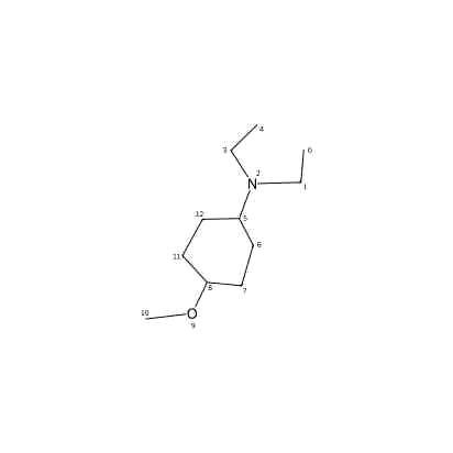 CCN(CC)C1CCC(OC)CC1